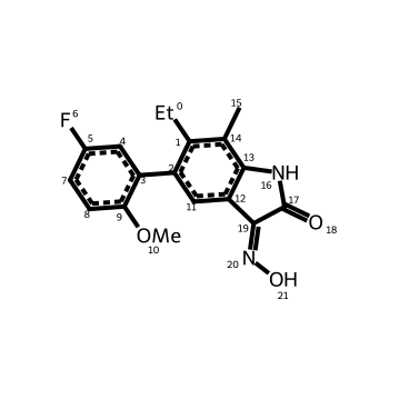 CCc1c(-c2cc(F)ccc2OC)cc2c(c1C)NC(=O)/C2=N\O